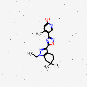 CCn1nc(-c2nc(-c3cnc(O)cc3C)no2)c2c1CC(C)(C)CC2